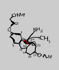 COCCOc1ccc2c(c1)[C@]1(N=C(N)N(C)C1=O)C1(CCC(OC)CC1)C2